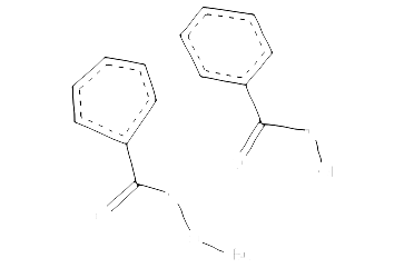 CC(C)(C)OOC(=O)c1ccccc1.O=C(OO)c1ccccc1